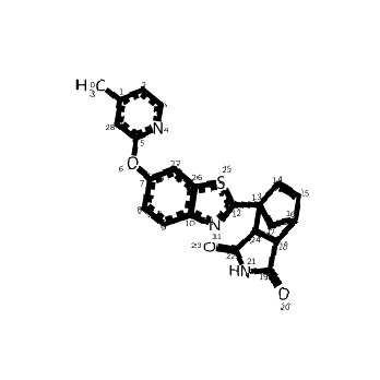 Cc1ccnc(Oc2ccc3nc(C45C=CC(C4)C4C(=O)NC(=O)C45)sc3c2)c1